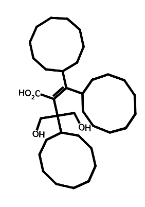 O=C(O)C(=C(C1CCCCCCCCC1)C1CCCCCCCCC1)C(CO)(CO)C1CCCCCCCCC1